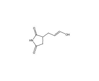 O=C1CC(CC=CO)C(=O)N1